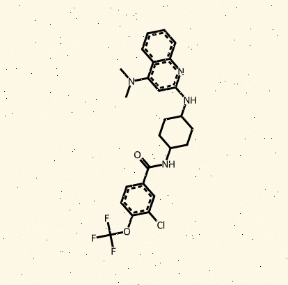 CN(C)c1cc(NC2CCC(NC(=O)c3ccc(OC(F)(F)F)c(Cl)c3)CC2)nc2ccccc12